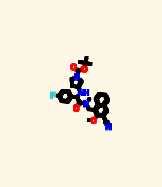 COc1c(C#N)cc2ccccc2c1CN(C)C(=O)C(NC1CCN(C(=O)OC(C)(C)C)C1)c1ccc(F)cc1